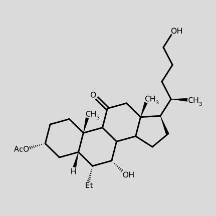 CC[C@H]1[C@@H](O)C2C3CC[C@H]([C@H](C)CCCO)[C@@]3(C)CC(=O)C2[C@@]2(C)CC[C@@H](OC(C)=O)C[C@@H]12